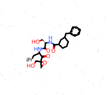 CC(C)CC(NC(=O)[C@H](CO)NC(=O)C1CCCC(Cc2ccccc2)C1)C(=O)C1(CO)CO1